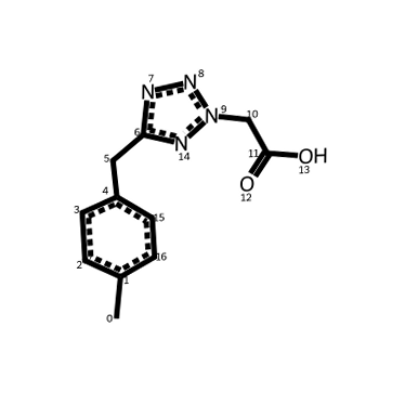 Cc1ccc(Cc2nnn(CC(=O)O)n2)cc1